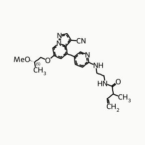 C=CC(C)C(=O)NCCNc1ccc(-c2cc(OC[C@H](C)OC)cn3ncc(C#N)c23)cn1